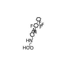 O=C(O)CCNCc1ccc2cn(-c3cc(C(F)(F)F)c(-c4ccccc4)cc3F)nc2c1